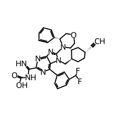 C#C[C@H]1CC[C@H](Cn2c(N3CCOC[C@H]3c3ccccc3)nc3nc(C(=N)NC(=O)O)nc(-c4cccc(C(F)F)c4)c32)CC1